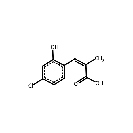 CC(=Cc1ccc(Cl)cc1O)C(=O)O